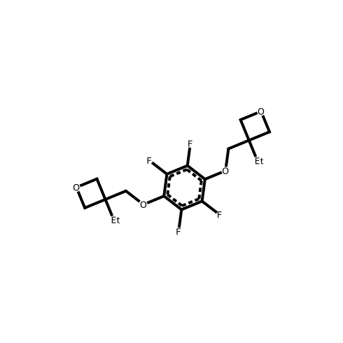 CCC1(COc2c(F)c(F)c(OCC3(CC)COC3)c(F)c2F)COC1